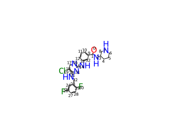 O=C(NC1CCCNC1)c1cccc(Nc2ncc(Cl)c(NCc3cc(F)ccc3F)n2)c1